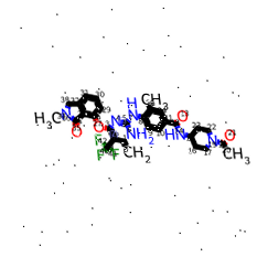 C=C/C(=C(\N=C(/N)Nc1ccc(C(=O)NC2CCN(C(C)=O)CC2)cc1C)Oc1cccc2c1C(=O)N(C)C2)C(F)(F)F